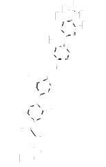 CCO/C(F)=C(\F)c1ccc(-c2ccc(CCc3ccc(-c4cc(F)c(C(F)(F)F)c(F)c4)c(F)c3)c(F)c2)c(F)c1